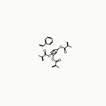 C=C(C)C(=O)OC1CC23C(OC(=O)C(=C)C)C12C3OC(=O)C(=C)C.C=Cc1ccccc1